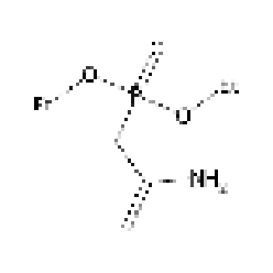 C=C(N)CP(=O)(OCC)OCC